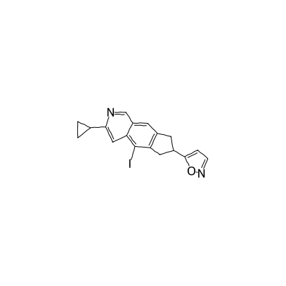 Ic1c2c(cc3cnc(C4CC4)cc13)CC(c1ccno1)C2